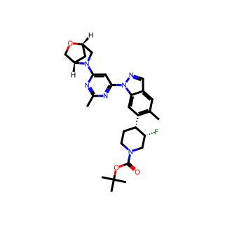 Cc1nc(N2C[C@@H]3C[C@H]2CO3)cc(-n2ncc3cc(C)c([C@H]4CCN(C(=O)OC(C)(C)C)C[C@H]4F)cc32)n1